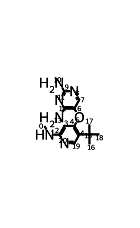 CNc1cc(Oc2cnc(N)nc2N)c(C(C)(C)C)cn1